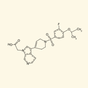 CC(C)Oc1ccc(S(=O)(=O)N2CC=C(c3cn(CC(=O)O)c4cnccc34)CC2)cc1F